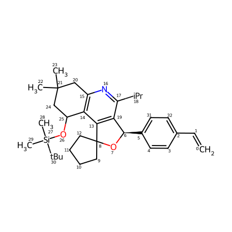 C=Cc1ccc([C@H]2OC3(CCCC3)c3c4c(nc(C(C)C)c32)CC(C)(C)CC4O[Si](C)(C)C(C)(C)C)cc1